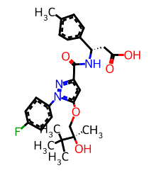 Cc1ccc([C@H](CC(=O)O)NC(=O)c2cc(OC[C@@](C)(O)C(C)(C)C)n(-c3ccc(F)cc3)n2)cc1